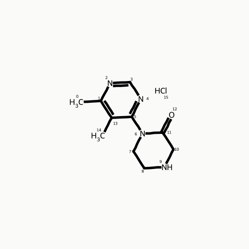 Cc1ncnc(N2CCNCC2=O)c1C.Cl